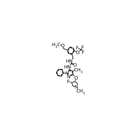 COCc1ccc(OC(F)(F)F)c(CNC(=O)Nc2c(C)c(O[C@H]3CN(C)C[C@H]3F)nn2-c2ccccc2)c1